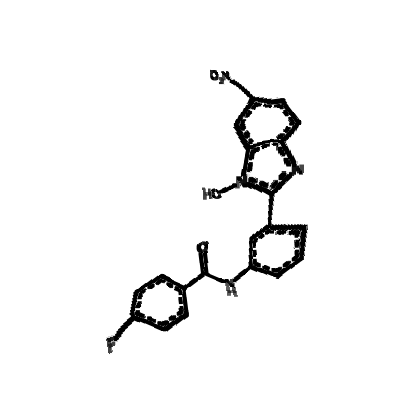 O=C(Nc1cccc(-c2nc3ccc([N+](=O)[O-])cc3n2O)c1)c1ccc(F)cc1